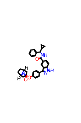 O=CN1[C@@H]2CC[C@H]1C[C@@H](Oc1ccc(-c3n[nH]c4ccc(C(=O)N[C@H](c5ccccc5)C5CC5)cc34)cc1)C2